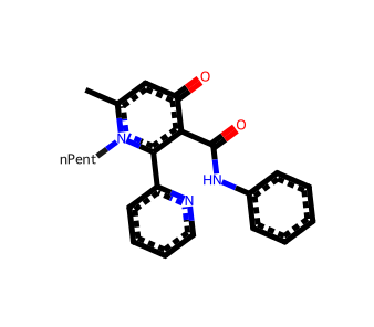 CCCCCn1c(C)cc(=O)c(C(=O)Nc2ccccc2)c1-c1ccccn1